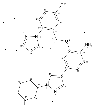 C[C@@H](Oc1cc(-c2cnn(C3CCCNC3)c2)cnc1N)c1cc(F)ccc1-n1nccn1